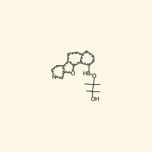 CC(C)(O)C(C)(C)OBc1cccc2ccc3c4ccncc4oc3c12